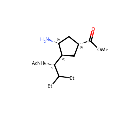 CCC(CC)[C@H](NC(C)=O)[C@@H]1C[C@@H](C(=O)OC)C[C@H]1N